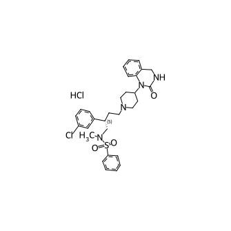 CN(C[C@@H](CCN1CCC(N2C(=O)NCc3ccccc32)CC1)c1cccc(Cl)c1)S(=O)(=O)c1ccccc1.Cl